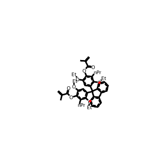 C=C(C)C(=O)Oc1c(OCC)cc(C2(c3cc(OCC)c(OC(=O)C(=C)C)c(CCC)c3OCC)c3ccccc3-c3ccccc32)c(OCC)c1CCC